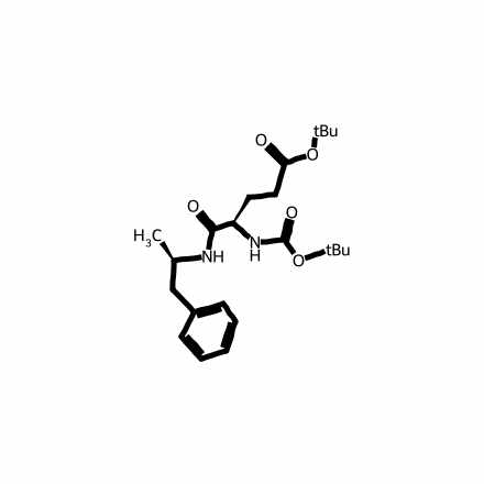 C[C@H](Cc1ccccc1)NC(=O)[C@@H](CCC(=O)OC(C)(C)C)NC(=O)OC(C)(C)C